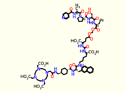 CC(C)C[C@H](NC(=O)[C@H](CO)NC(=O)[C@@H]1CCCN1C(=O)[C@@H](C)NC(=O)c1ccncc1)C(=O)OCOC(=O)CC[C@H](NC(=O)N[C@@H](CCCCNC(=O)[C@H](Cc1ccc2ccccc2c1)NC(=O)[C@H]1CC[C@H](CNC(=O)CN2CCN(CC(=O)O)CCN(CC(=O)O)CCN(CC(=O)O)CC2)CC1)C(=O)O)C(=O)O